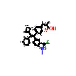 CC(=Cc1ccc(C(=C(c2ccccc2)C2CCC2)c2ccc3[nH]nc(F)c3c2)cc1)C(=O)O